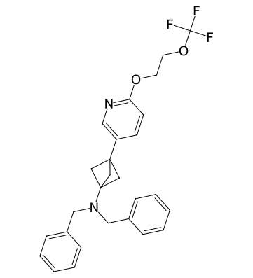 FC(F)(F)OCCOc1ccc(C23CC(N(Cc4ccccc4)Cc4ccccc4)(C2)C3)cn1